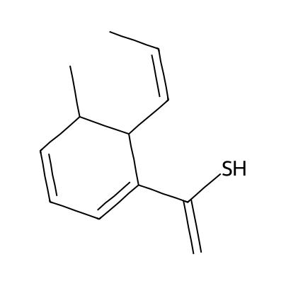 C=C(S)C1=CC=CC(C)C1/C=C\C